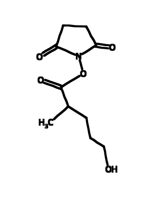 CC(CCCO)C(=O)ON1C(=O)CCC1=O